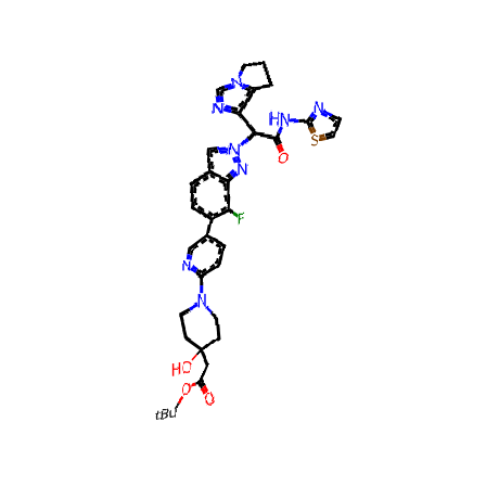 CC(C)(C)OC(=O)CC1(O)CCN(c2ccc(-c3ccc4cn(C(C(=O)Nc5nccs5)c5ncn6c5CCC6)nc4c3F)cn2)CC1